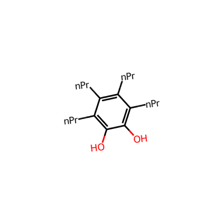 CCCc1c(O)c(O)c(CCC)c(CCC)c1CCC